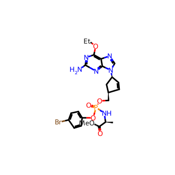 CCOc1nc(N)nc2c1ncn2[C@H]1C=C[C@@H](COP(=O)(N[C@@H](C)C(=O)OC)Oc2ccc(Br)cc2)C1